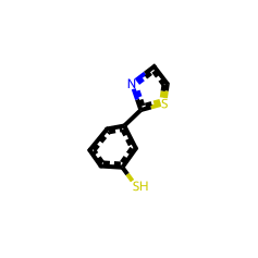 Sc1cccc(-c2nccs2)c1